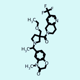 CCOCC1(C(=O)N2CCc3ncc(C(F)(F)F)cc3C2)CCN(C(C)c2ccc3c(c2)N(C)C(=O)CO3)C1